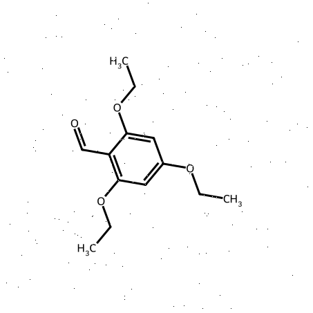 CCOc1cc(OCC)c(C=O)c(OCC)c1